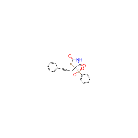 O=C1NC(=O)C(CC#Cc2ccccc2)(S(=O)(=O)c2ccccc2)S1